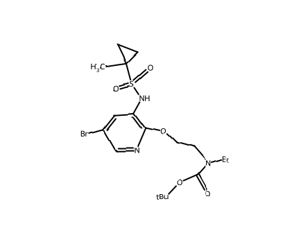 CCN(CCOc1ncc(Br)cc1NS(=O)(=O)C1(C)CC1)C(=O)OC(C)(C)C